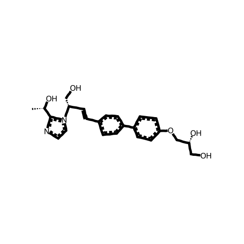 C[C@H](O)c1nccn1[C@@H](/C=C/c1ccc(-c2ccc(OC[C@H](O)CO)cc2)cc1)CO